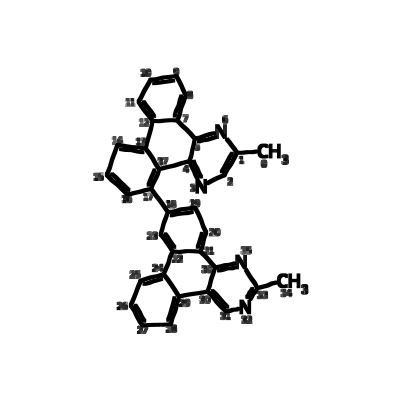 Cc1cnc2c(n1)c1ccccc1c1cccc(-c3ccc4c(c3)c3ccccc3c3cnc(C)nc43)c12